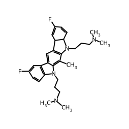 Cc1c2c(cc3c4cc(F)ccc4n(CCCN(C)C)c13)C1C=C(F)C=CC1N2CCCN(C)C